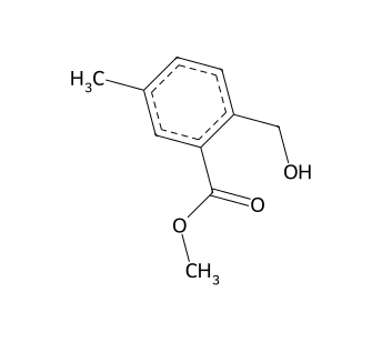 COC(=O)c1cc(C)ccc1CO